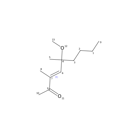 CCCCC(C)(/C=C(\C)C(C)=O)OC